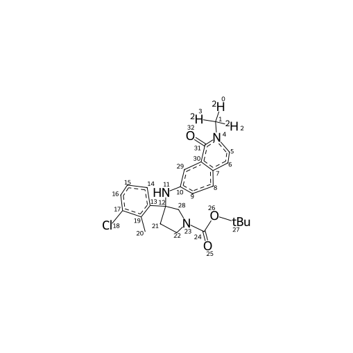 [2H]C([2H])([2H])n1ccc2ccc(NC3(c4cccc(Cl)c4C)CCN(C(=O)OC(C)(C)C)C3)cc2c1=O